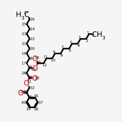 CCCCCCCCCCCCCC(=O)O[C@H](CCCCCCCCCCC)CC(=O)OCC(=O)c1ccccc1